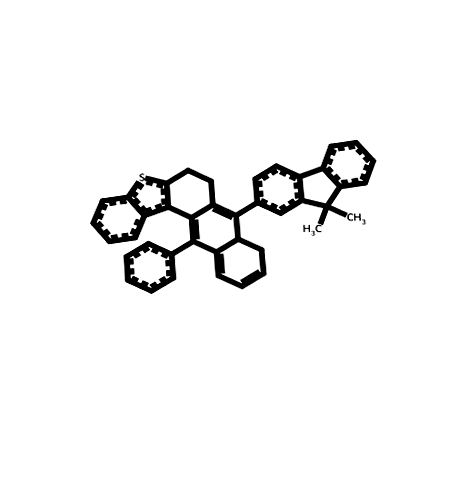 CC1(C)c2ccccc2-c2ccc(C3=C4CCc5sc6ccccc6c5C4=C(c4ccccc4)C4=CC=CCC43)cc21